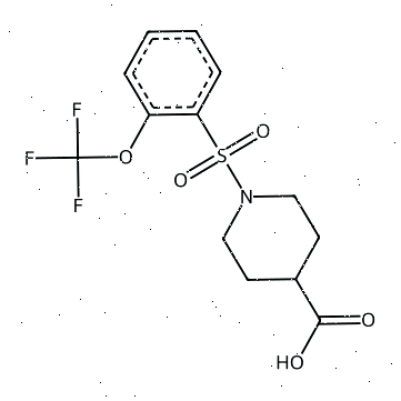 O=C(O)C1CCN(S(=O)(=O)c2ccccc2OC(F)(F)F)CC1